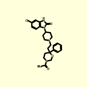 CC(C)(C)C(=O)N1CCC(CCN2CCC(n3c(=O)[nH]c4cc(Cl)ccc43)CC2)(c2ccccc2)OC1